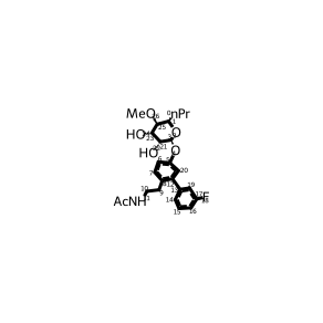 CCC[C@H]1O[C@H](Oc2ccc(CCNC(C)=O)c(-c3cccc(F)c3)c2)[C@H](O)[C@H](O)[C@H]1OC